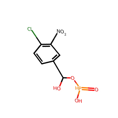 O=[N+]([O-])c1cc(C(O)O[PH](=O)O)ccc1Cl